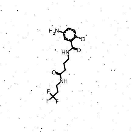 Nc1ccc(Cl)c(C(=O)NCCCC(=O)NCCC(F)(F)F)c1